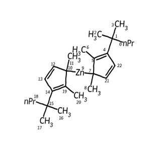 CCCC(C)(C)C1=C(C)[C](C)([Zn][C]2(C)C=CC(C(C)(C)CCC)=C2C)C=C1